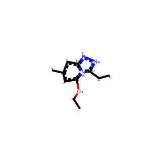 CCOc1cc(C)cc2nnc(CC)n12